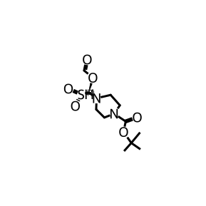 CC(C)(C)OC(=O)N1CCN([C@H](OC=O)[SH](=O)=O)CC1